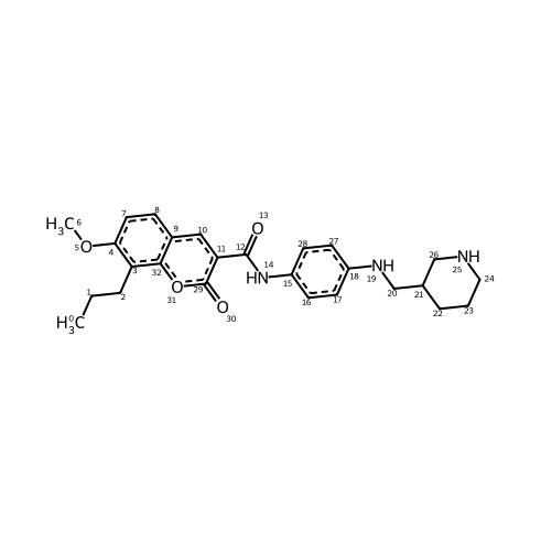 CCCc1c(OC)ccc2cc(C(=O)Nc3ccc(NCC4CCCNC4)cc3)c(=O)oc12